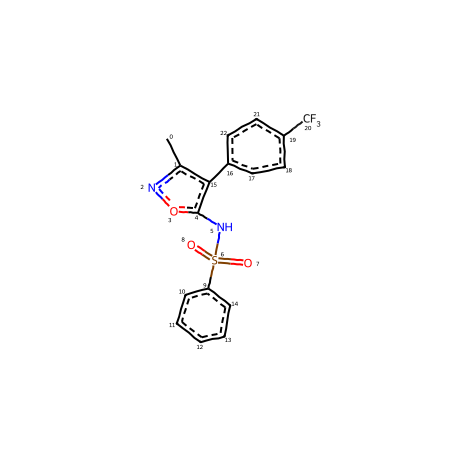 Cc1noc(NS(=O)(=O)c2ccccc2)c1-c1ccc(C(F)(F)F)cc1